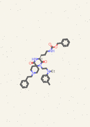 CCN(CCN1C(=O)[C@H](CCCNC(=O)OCc2ccccc2)NC(=O)C12CCN(CCc1ccccc1)CC2)c1cccc(C)c1